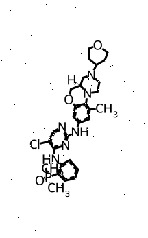 Cc1cc(Nc2ncc(Cl)c(Nc3ccccc3P(C)(C)=O)n2)cc2c1N1CCN(C3CCOCC3)C[C@@H]1CO2